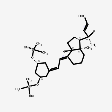 CC(C)(C)[Si](C)(C)O[C@@H]1CC(=C/C=C2\CCC[C@@]3(C)[C@H]2CC[C@@H]3[C@](C)(F)/C=C/C=O)C[C@@H](O[Si](C)(C)C(C)(C)C)C1